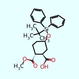 COC(=O)[C@@H]1CC[C@@H](O[Si](c2ccccc2)(c2ccccc2)C(C)(C)C)C[C@H]1C(=O)O